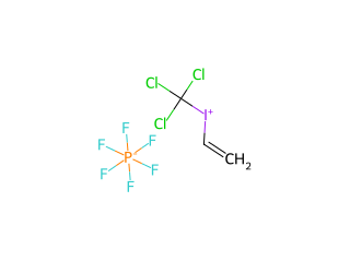 C=C[I+]C(Cl)(Cl)Cl.F[P-](F)(F)(F)(F)F